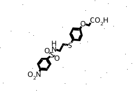 O=C(O)COc1ccc(SCCNS(=O)(=O)c2ccc([N+](=O)[O-])cc2)cc1